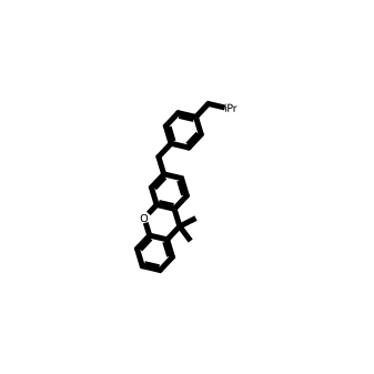 CC(C)Cc1ccc(Cc2ccc3c(c2)Oc2ccccc2C3(C)C)cc1